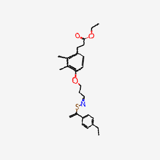 C=C(S/N=C\CCOc1ccc(CCC(=O)OCC)c(C)c1C)c1ccc(CC)cc1